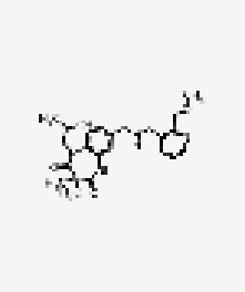 COCc1ncccc1CNCc1ccc2c(c1)NC(=O)C(C)(C)C(=O)N2CC(C)C